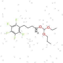 CCCOC(OCC)O[SiH2]CCCc1c(F)c(F)c(F)c(F)c1F